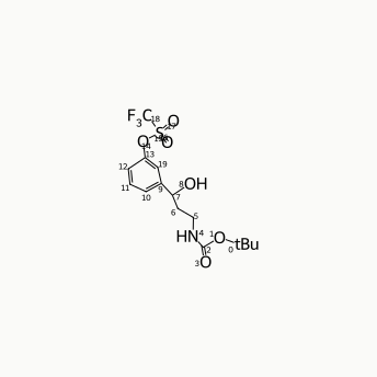 CC(C)(C)OC(=O)NCCC(O)c1cccc(OS(=O)(=O)C(F)(F)F)c1